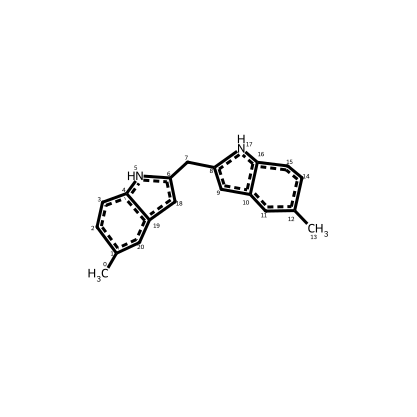 Cc1ccc2[nH]c(Cc3cc4cc(C)ccc4[nH]3)cc2c1